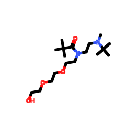 CN(CCN(CCOCCOCCO)C(=O)C(C)(C)C)C(C)(C)C